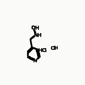 Cl.Cl.ONCc1ccncc1